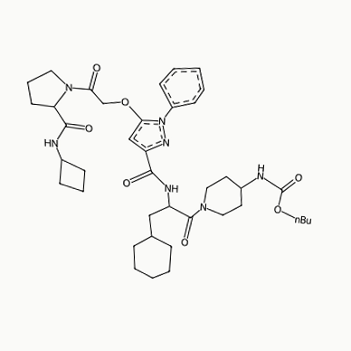 CCCCOC(=O)NC1CCN(C(=O)C(CC2CCCCC2)NC(=O)c2cc(OCC(=O)N3CCCC3C(=O)NC3CCC3)n(-c3ccccc3)n2)CC1